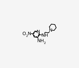 Nc1cc([N+](=O)[O-])cnc1NCCN1CCCCC1